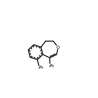 CC(C)C1=COCCc2cccc(C(C)C)c21